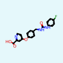 O=C(NCc1ccc(Oc2ccnc(C(=O)O)c2)cc1)Nc1ccc(F)cc1